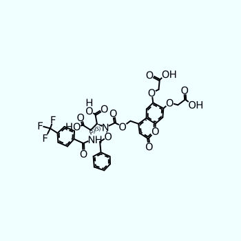 O=C(O)COc1cc2oc(=O)cc(COC(=O)N(OCc3ccccc3)[C@H](C(=O)O)[C@H](NC(=O)c3ccc(C(F)(F)F)cc3)C(=O)O)c2cc1OCC(=O)O